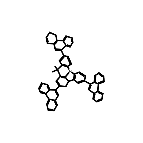 CC1(C)C2=C3C(CC(c4cc5ccccc5c5ccccc45)=C2)c2cc(-c4cc5ccccc5c5ccccc45)ccc2N3c2ccc(-c3cc4c(c5ccccc35)CCC=C4)cc21